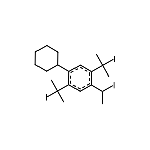 CC(I)c1cc(C(C)(C)I)c(C2CCCCC2)cc1C(C)(C)I